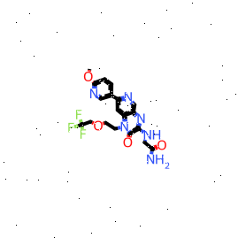 COc1ccc(-c2cc3c(cn2)nc(NCC(N)=O)c(=O)n3CCOCC(F)(F)F)cn1